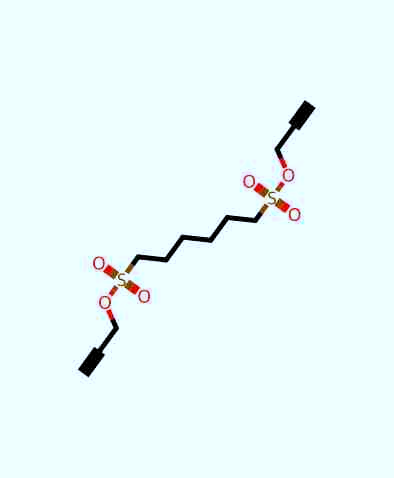 C#CCOS(=O)(=O)CCCCCCS(=O)(=O)OCC#C